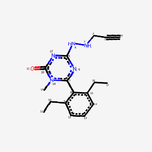 C#CCNNc1nc(-c2c(CC)cccc2CC)n(C)c(=O)n1